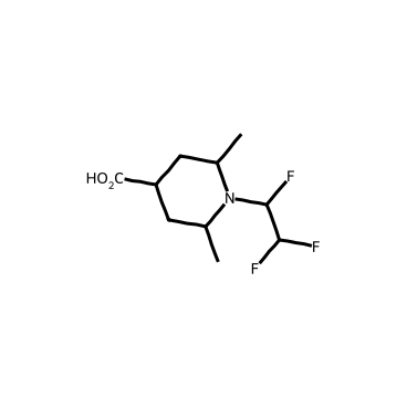 CC1CC(C(=O)O)CC(C)N1C(F)C(F)F